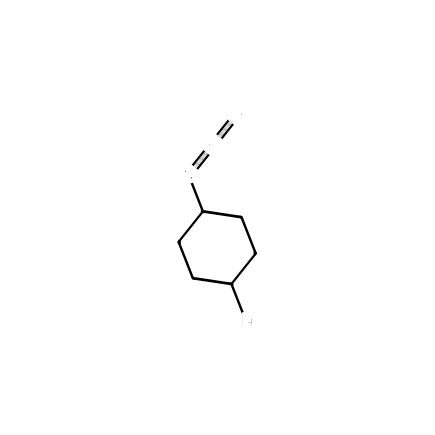 O=C=NC1CCC(Br)CC1